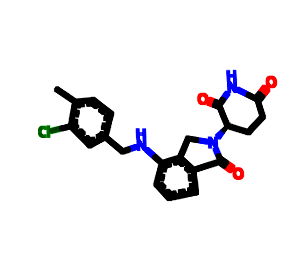 Cc1ccc(CNc2cccc3c2CN([C@@H]2CCC(=O)NC2=O)C3=O)cc1Cl